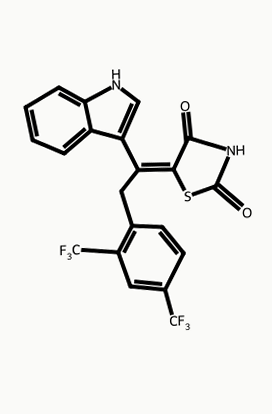 O=C1NC(=O)/C(=C(/Cc2ccc(C(F)(F)F)cc2C(F)(F)F)c2c[nH]c3ccccc23)S1